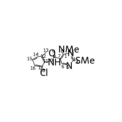 CNc1nc(SC)ncc1C(=O)Nc1c(C)cccc1Cl